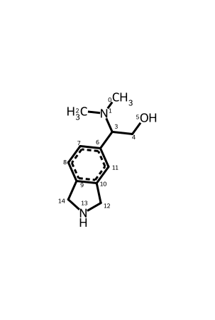 CN(C)C(CO)c1ccc2c(c1)CNC2